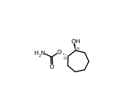 NC(=O)O[C@H]1CCCCC[C@@H]1O